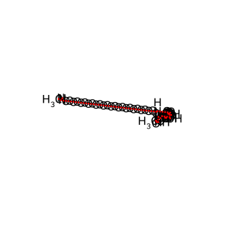 Cc1cn(CCOCCOCCOCCOCCOCCOCCOCCOCCOCCOCCOCCOCCOCCOCCOCCOCCOCCOCCOCCOCCOCCOCCOCCOCCC(=O)NCCCCCCOP(=O)(O)OP(=O)(O)OP(=O)(O)OP(=O)(O)OP(=O)(O)OP(=O)(O)OC[C@H]2O[C@@H](n3cc(C)c(=O)[nH]c3=O)CC2O)nn1